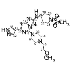 COCCN1CCN(c2nc(-c3cn[nH]c3)cc3nc(NC4CCN(S(C)(=O)=O)CC4)nn23)CC1